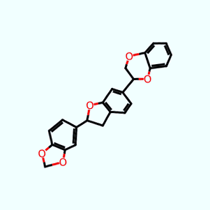 c1ccc2c(c1)OCC(c1ccc3c(c1)OC(c1ccc4c(c1)OCO4)C3)O2